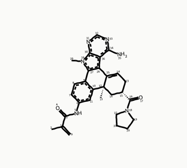 C=C(C)C(=O)Nc1ccc2c(c1)[C@]1(C)C[C@@H](C(=O)N3CCCC3)CC=C1c1c-2n(C)c2ncnc(N)c12